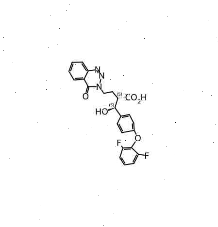 O=C(O)[C@@H](CCn1nnc2ccccc2c1=O)[C@H](O)c1ccc(Oc2c(F)cccc2F)cc1